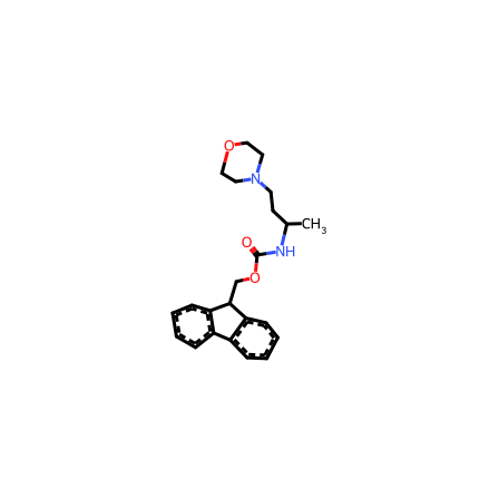 CC(CCN1CCOCC1)NC(=O)OCC1c2ccccc2-c2ccccc21